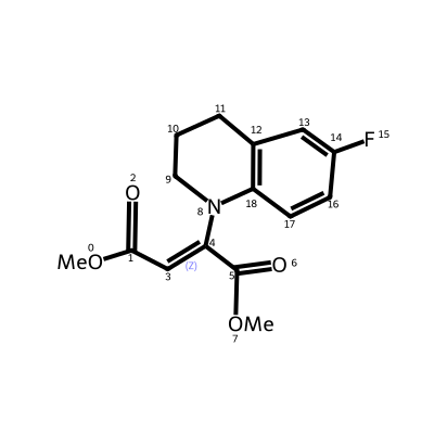 COC(=O)/C=C(/C(=O)OC)N1CCCc2cc(F)ccc21